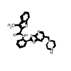 Cc1c(C(=O)Nc2ccccc2-c2nc3cc(CN4CCNCC4)cnc3s2)oc2ccccc12